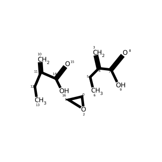 C1CO1.C=C(CC)C(=O)O.C=C(CC)C(=O)O